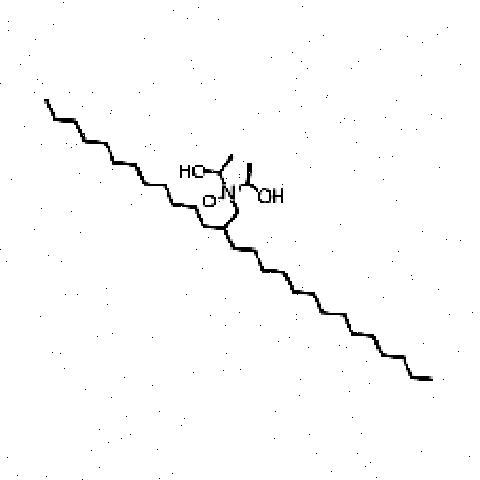 CCCCCCCCCCCCCCC(CCCCCCCCCCCC)C[N+]([O-])(C(C)O)C(C)O